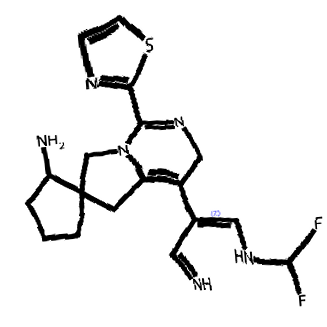 N=C/C(=C\NC(F)F)C1=C2CC3(CCCC3N)CN2C(c2nccs2)=NC1